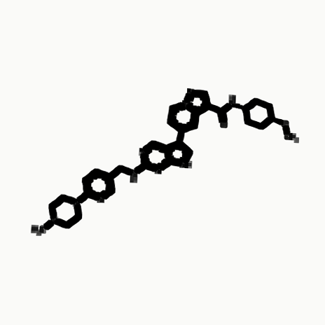 CO[C@H]1CC[C@H](NC(=O)c2cnn3ccc(-c4c[nH]c5nc(NCc6ccc(N7CCN(C)CC7)nc6)ncc45)cc23)CC1